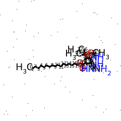 CCCCCCCCCCCCCCCCCCOC(=O)C1=C[C@@H](OC(CC)CC)[C@H](NC(C)=O)[C@@H](NC(=N)N)C1